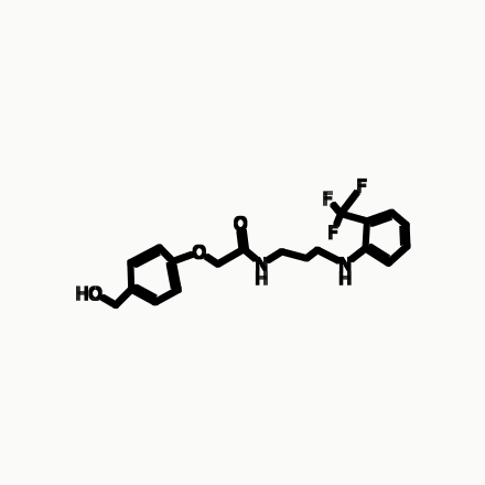 O=C(COc1ccc(CO)cc1)NCCCNc1ccccc1C(F)(F)F